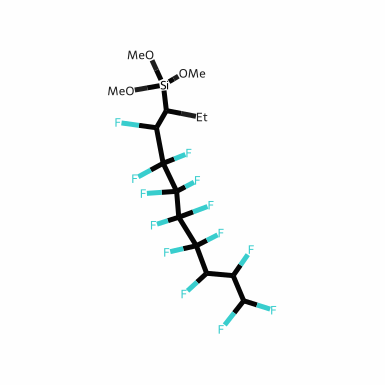 CCC(C(F)C(F)(F)C(F)(F)C(F)(F)C(F)(F)C(F)C(F)C(F)F)[Si](OC)(OC)OC